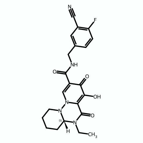 CCN1C(=O)c2c(O)c(=O)c(C(=O)NCc3ccc(F)c(C#N)c3)cn2N2CCCC[C@@H]12